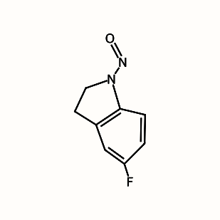 O=NN1CCc2cc(F)ccc21